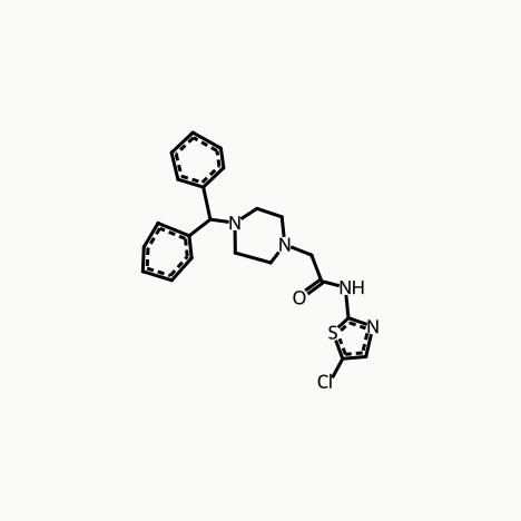 O=C(CN1CCN(C(c2ccccc2)c2ccccc2)CC1)Nc1ncc(Cl)s1